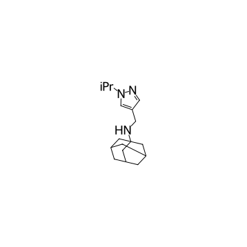 CC(C)n1cc(CNC23CC4CC(CC(C4)C2)C3)cn1